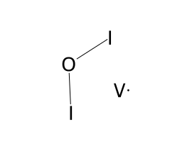 IOI.[V]